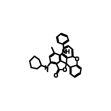 Cc1cc(N(C)C2CCCCC2)c2c(c1Nc1ccccc1)C1(OC2=O)c2ccccc2Oc2ccccc21